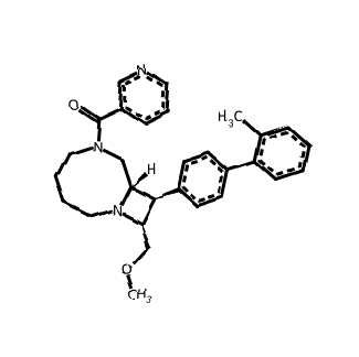 COC[C@@H]1[C@H](c2ccc(-c3ccccc3C)cc2)[C@H]2CN(C(=O)c3cccnc3)CCCCN12